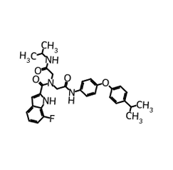 CC(C)NC(=O)CN(CC(=O)Nc1ccc(Oc2ccc(C(C)C)cc2)cc1)C(=O)c1cc2cccc(F)c2[nH]1